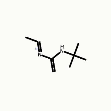 C=C(/N=C/C)NC(C)(C)C